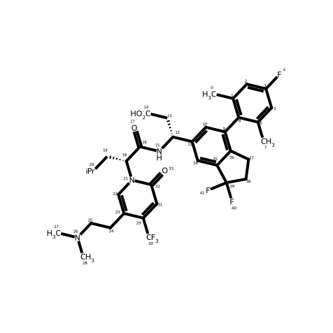 Cc1cc(F)cc(C)c1-c1cc([C@@H](CC(=O)O)NC(=O)[C@@H](CC(C)C)n2cc(CCN(C)C)c(C(F)(F)F)cc2=O)cc2c1CCC2(F)F